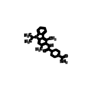 Cc1cc2c(c(C)c1NC(=O)C1CCN(C(N)=O)CC1)c1ccccc1n2C(C)C